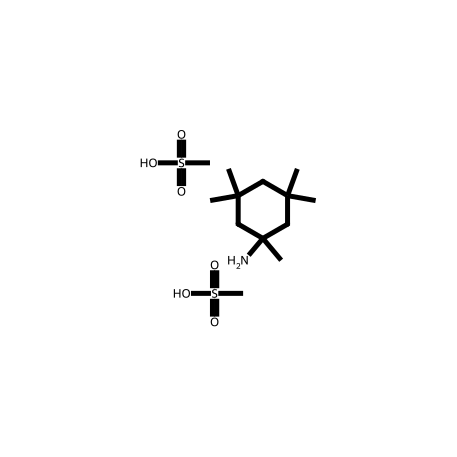 CC1(C)CC(C)(C)CC(C)(N)C1.CS(=O)(=O)O.CS(=O)(=O)O